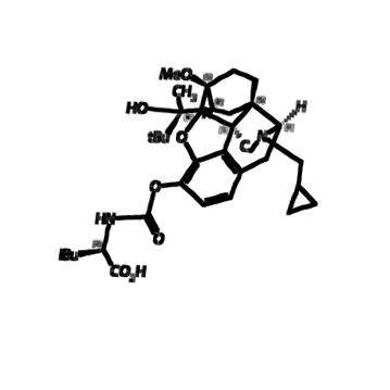 CCC(C)[C@@H](NC(=O)Oc1ccc2c3c1OC1[C@]34CCN(CC3CC3)[C@H](C2)[C@]42CC[C@]1(OC)[C@@H]([C@@](C)(O)C(C)(C)C)C2)C(=O)O